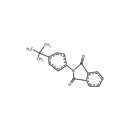 CC(C)(C)c1ccc(N2C(=O)c3ccccc3C2=O)cc1